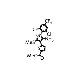 COC(=O)c1ccc(-c2c(SC)nn(-c3c(Cl)cc(C(F)(F)F)cc3Cl)c2N)s1